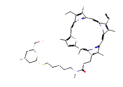 C=Cc1c(C)c2cc3nc(c(C)c4cc(C)c(cc5nc(cc1[nH]2)C(C)=C5CC)[nH]4)C(CCC(=O)N(C)CCCCCS[C@@H]1O[C@H](CO)[C@@H](O)[C@H](O)[C@H]1O)=C3C